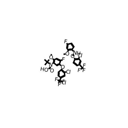 COc1cc(F)c(Oc2ccc(C(F)(F)F)cc2Cl)cc1N(C(=O)O)C(C)(C)C.COc1cc(F)ccc1NOc1ccc(C(F)(F)F)cc1Cl.Cl